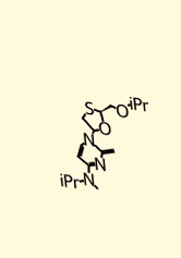 C=C1N=C(N(C)C(C)C)C=CN1[C@H]1CS[C@@H](COC(C)C)O1